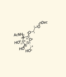 CCCCCCCCCCOCCO[C@H]1O[C@H](CO)[C@@H](O)[C@H](O)[C@H]1NC(C)=O